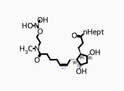 CCCCCCCC(=O)CC[C@@H]1[C@@H](C/C=C\CCCC(=O)N(C)CCON(O)O)[C@@H](O)C[C@H]1O